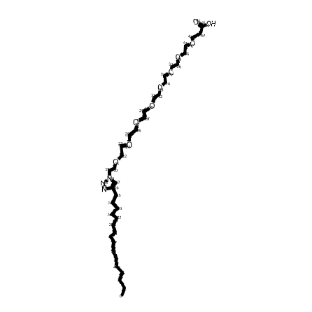 CCCCCCCCCCCCCCCCc1cn(CCOCCOCCOCCOCCOCCOCCOCCOCCC(=O)O)nn1